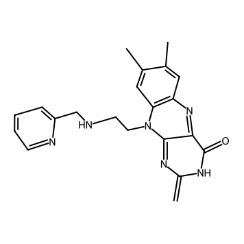 C=c1nc2c(c(=O)[nH]1)=Nc1cc(C)c(C)cc1N2CCNCc1ccccn1